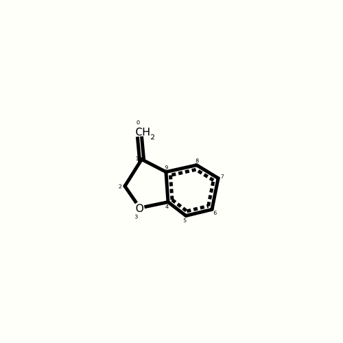 C=C1COc2ccccc21